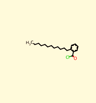 CCCCCCCCCCCCc1ccccc1C(=O)Cl